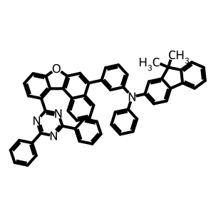 CC1(C)c2ccccc2-c2ccc(N(c3ccccc3)c3cccc(-c4cc5oc6cccc(-c7nc(-c8ccccc8)nc(-c8ccccc8)n7)c6c5c5ccccc45)c3)cc21